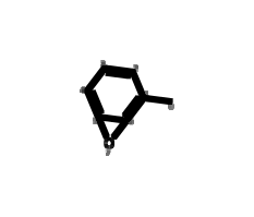 Cc1cccc2c1O2